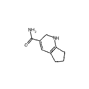 NC(=O)C1=CC2=C(CCC2)NC1